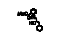 COC(=O)c1ccccc1NCC(O)CC1CCCCC1